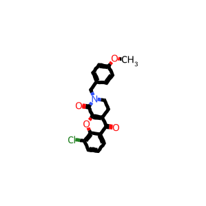 COc1ccc(CN2CCc3c(oc4c(Cl)cccc4c3=O)C2=O)cc1